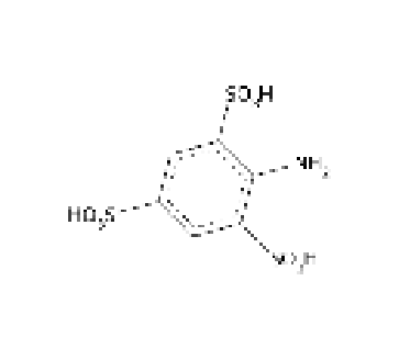 Nc1c(S(=O)(=O)O)cc(S(=O)(=O)O)cc1S(=O)(=O)O